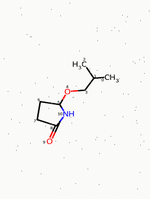 CC(C)COC1CCC(=O)N1